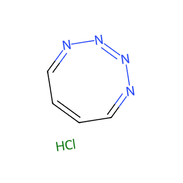 C1=C\C=N/N=N\N=C/1.Cl